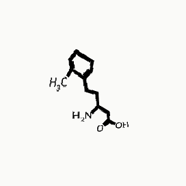 Cc1ccccc1CCC(N)CC(=O)O